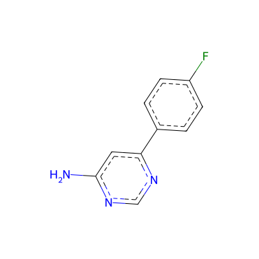 Nc1cc(-c2ccc(F)cc2)ncn1